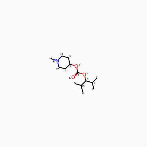 CC(C)C(OC(=O)OC1CCN(C)CC1)C(C)C